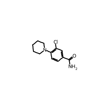 NC(=O)c1ccc(N2CCCCC2)c(Cl)c1